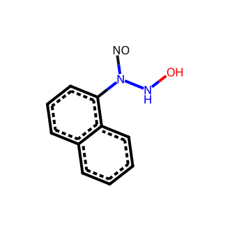 O=NN(NO)c1cccc2ccccc12